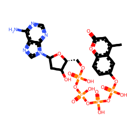 Cc1cc(=O)oc2ccc(OP(=O)(O)OP(=O)(O)OP(=O)(O)OP(=O)(O)OC[C@H]3OC(n4cnc5c(N)ncnc54)CC3O)cc12